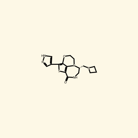 O=C1NC[C@@H](CN2CCC2)N2CCOc3c(-c4cn[nH]c4)sc1c32